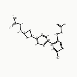 C=C(C)COc1ccc(Cl)cc1-c1ccc(C2CC(OCC(=O)O)C2)cc1